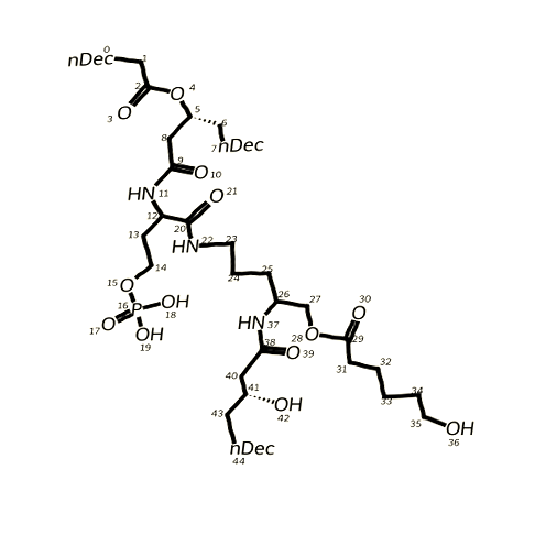 CCCCCCCCCCCC(=O)O[C@H](CCCCCCCCCCC)CC(=O)NC(CCOP(=O)(O)O)C(=O)NCCCC(COC(=O)CCCCCO)NC(=O)C[C@H](O)CCCCCCCCCCC